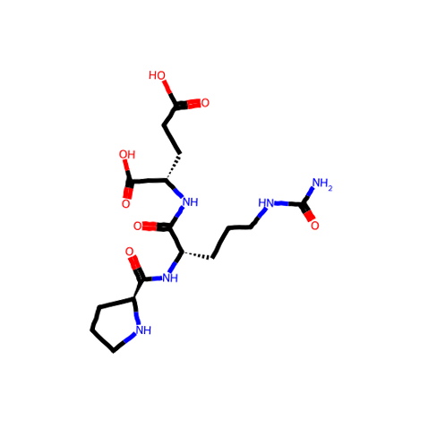 NC(=O)NCCC[C@H](NC(=O)[C@@H]1CCCN1)C(=O)N[C@@H](CCC(=O)O)C(=O)O